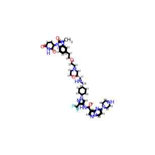 Cn1c(=O)n(C2CCC(=O)NC2=O)c2ccc(CCOCCN3CCO[C@@H](CNC[C@H]4CC[C@H](n5cc(NC(=O)c6cnn7ccc(N8CCNCC8)nc67)c(C(F)F)n5)CC4)C3)cc21